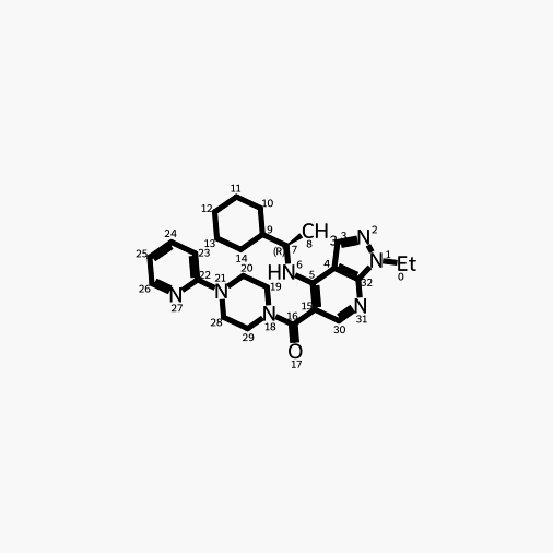 CCn1ncc2c(N[C@H](C)C3CCCCC3)c(C(=O)N3CCN(c4ccccn4)CC3)cnc21